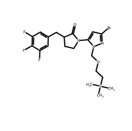 C[Si](C)(C)CCOCn1nc(Br)cc1N1CCC(Cc2cc(F)c(F)c(F)c2)C1=O